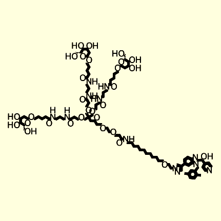 Cc1ccc(C)c(Cn2c(C(O)c3ccncc3)nc3ccc(-c4cnn(CCOCCCCCCCCCCCCNC(=O)CCOCCOCCC(=O)CC(COCCC(=O)NCCCNC(=O)CCCCO[C@H]5C[C@@H](O)[C@@H](O)[C@@H](CO)O5)(COCCC(=O)NCCCNC(=O)CCCCO[C@H]5C[C@@H](O)[C@@H](O)[C@@H](CO)O5)COCCC(=O)NCCCNC(=O)CCCCO[C@H]5C[C@@H](O)[C@@H](O)[C@@H](CO)O5)c4)cc32)c1